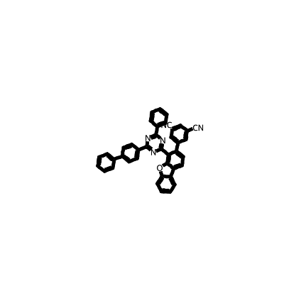 N#Cc1cc(C#N)cc(-c2ccc3c(oc4ccccc43)c2-c2nc(-c3ccccc3)nc(-c3ccc(-c4ccccc4)cc3)n2)c1